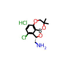 CC1(C)COc2ccc(Cl)c3c2B(O[C@@H]3CN)O1.Cl